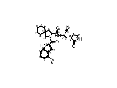 COc1cccc2[nH]c(C(=O)N3CC4(CCCCC4)CC3C(=O)N[C@H](C#N)C[C@@H]3CCNC3=O)cc12